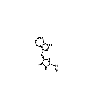 CCCNC1=N/C(=C\c2c[nH]c3ncccc23)C(=O)N1